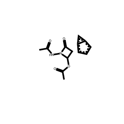 CC(=O)NN1C(=O)CC1OC(C)=O.c1cc2cc-2c1